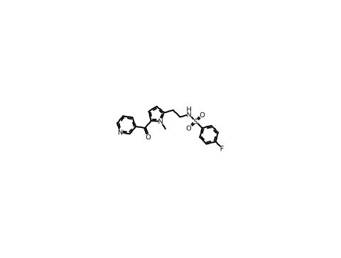 Cn1c(CCNS(=O)(=O)c2ccc(F)cc2)ccc1C(=O)c1cccnc1